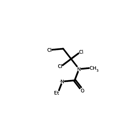 CC[N]C(=O)N(C)C(Cl)(Cl)CCl